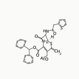 C=C1S[C@@H]2C(NC(=O)Cc3cccs3)C(=O)N2C(C(=O)OC(c2ccccc2)c2ccccc2)=C1COC(C)=O